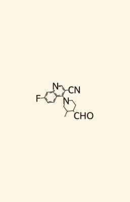 CC1CN(c2c(C#N)cnc3cc(F)ccc23)CCC1C=O